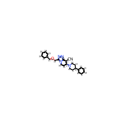 N#Cc1c(N2CCC(c3ccccc3)CC2)ccn2c(COCc3ccccc3)nnc12